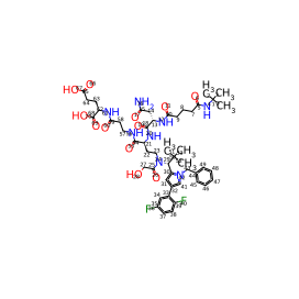 CC(C)(C)NC(=O)CCCC(=O)N[C@@H](CC(N)=O)C(=O)N[C@@H](CCN(C(=O)CO)[C@@H](c1cc(-c2cc(F)ccc2F)cn1Cc1ccccc1)C(C)(C)C)C(=O)NCCC(=O)N[C@H](CCC(=O)O)C(=O)O